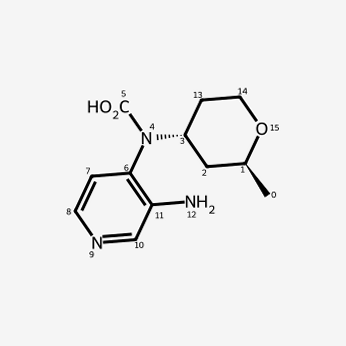 C[C@H]1C[C@H](N(C(=O)O)c2ccncc2N)CCO1